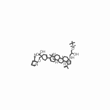 C=C(C)[C@@H]1CC[C@]2(NCC(O)CO[Si](C)(C)C(C)(C)C)CC[C@]3(C)[C@H](CC[C@@H]4C5(C)CC=C(C6=CCC(COc7ncccc7C#N)(C(=O)O)CC6)C(C)(C)[C@@H]5CC[C@]43C)[C@@H]12